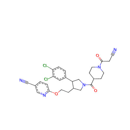 N#CCC(=O)N1CCC(C(=O)N2CC(CCOc3ccc(C#N)cn3)C(c3ccc(Cl)c(Cl)c3)C2)CC1